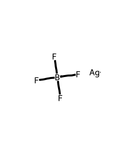 F[B-](F)(F)F.[Ag]